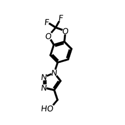 OCc1cn(-c2ccc3c(c2)OC(F)(F)O3)nn1